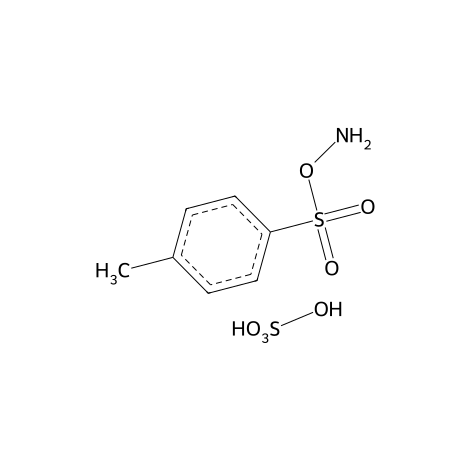 Cc1ccc(S(=O)(=O)ON)cc1.O=S(=O)(O)O